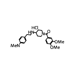 CNc1ccc(CCNC2CCN(C(=O)c3ccc(OC)c(OC)c3)CC2)cc1.Cl